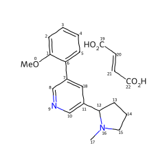 COc1ccccc1-c1cncc(C2CCCN2C)c1.O=C(O)/C=C/C(=O)O